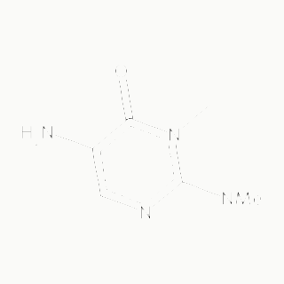 CNc1ncc(N)c(=O)n1C